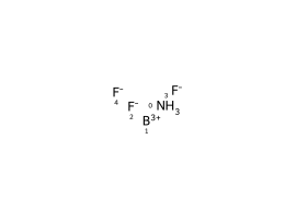 N.[B+3].[F-].[F-].[F-]